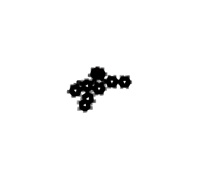 c1ccc(-c2ccc(N(c3ccccc3)c3cccc4c5c(-c6ccc7ccccc7c6)c6c(cc5n(-c5ccccc5)c34)oc3ccccc36)cc2)cc1